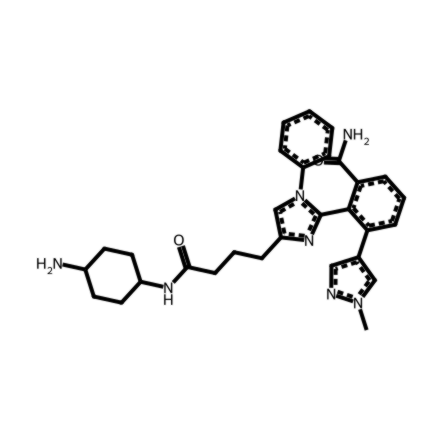 Cn1cc(-c2cccc(C(N)=O)c2-c2nc(CCCC(=O)NC3CCC(N)CC3)cn2-c2ccccc2)cn1